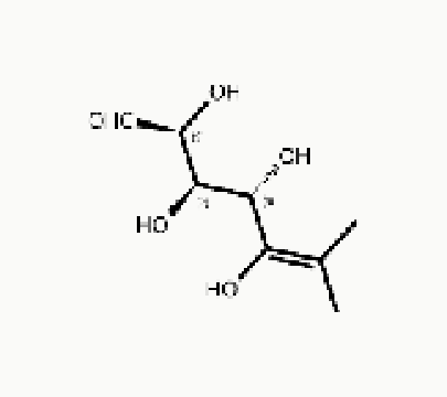 CC(C)=C(O)[C@@H](O)[C@@H](O)[C@H](O)C=O